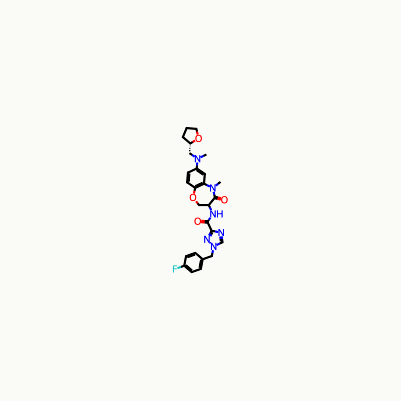 CN(C[C@@H]1CCCO1)c1ccc2c(c1)N(C)C(=O)C(NC(=O)c1ncn(Cc3ccc(F)cc3)n1)CO2